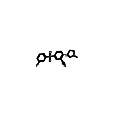 CN1CC[C@@H](c2ccc(S(=O)(=O)c3cccc(F)c3)cc2C#N)C1